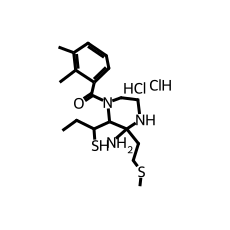 CCC(S)C1N(C(=O)c2cccc(C)c2C)CCNC1(N)CCSC.Cl.Cl